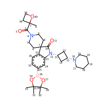 CC1(C(=O)N2CCC3(CC2)C(=O)N([C@H]2C[C@@H](N4CCCCC4)C2)c2cc(B4OC(C)(C)C(C)(C)O4)ccc23)CCO1